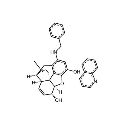 CN1CC[C@]23c4c5c(NCc6ccccc6)cc(O)c4O[C@H]2[C@@H](O)C=C[C@H]3[C@H]1C5.c1ccc2ncccc2c1